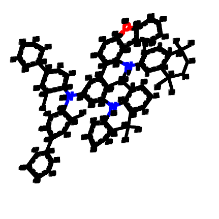 Cc1cc2c(cc1N1B3c4cccc5c4N(c4ccccc4C5(C)C)c4cc(N(c5ccc(-c6ccccc6)cc5C)c5ccc(-c6ccccc6)cc5C)cc(c43)-c3ccc4oc5ccccc5c4c31)C(C)(C)CCC2(C)C